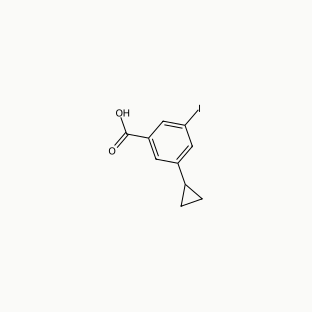 O=C(O)c1cc(I)cc(C2CC2)c1